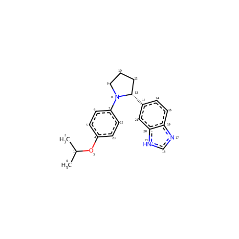 CC(C)Oc1ccc(N2CCC[C@@H]2c2ccc3nc[nH]c3c2)cc1